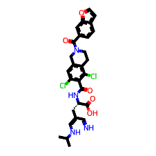 CC(C)N/C=C(\C=N)C[C@H](NC(=O)c1c(Cl)cc2c(c1Cl)CCN(C(=O)c1ccc3ccoc3c1)C2)C(=O)O